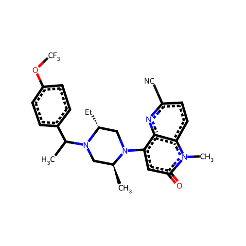 CC[C@@H]1CN(c2cc(=O)n(C)c3ccc(C#N)nc23)[C@@H](C)CN1C(C)c1ccc(OC(F)(F)F)cc1